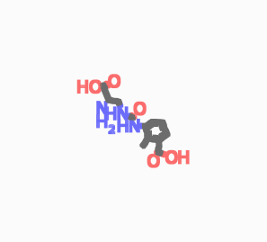 Cc1c(NC(=O)NC[C@H](N)C(=O)O)cccc1C(=O)O